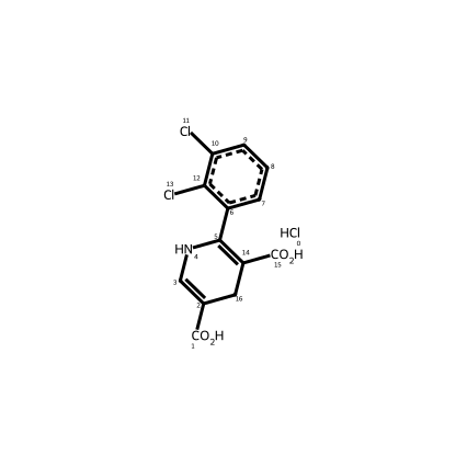 Cl.O=C(O)C1=CNC(c2cccc(Cl)c2Cl)=C(C(=O)O)C1